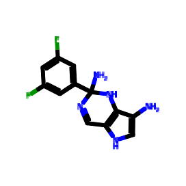 Nc1c[nH]c2c1NC(N)(c1cc(F)cc(F)c1)N=C2